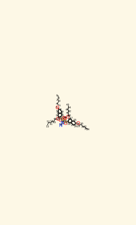 CCCCCCOc1ccc2cc(S(=O)(=O)C(=[N+]=[N-])S(=O)(=O)c3cc4ccc(OCCCCCC)cc4cc3OCCCCCC)c(OCCCCCC)cc2c1